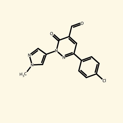 Cn1cc(-n2nc(-c3ccc(Cl)cc3)cc(C=O)c2=O)cn1